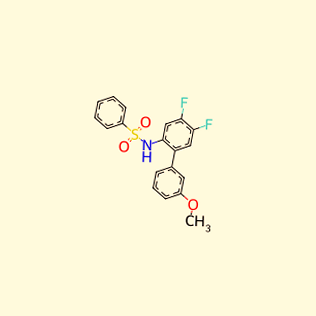 COc1cccc(-c2cc(F)c(F)cc2NS(=O)(=O)c2ccccc2)c1